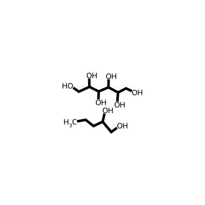 CCCC(O)CO.OCC(O)C(O)C(O)C(O)CO